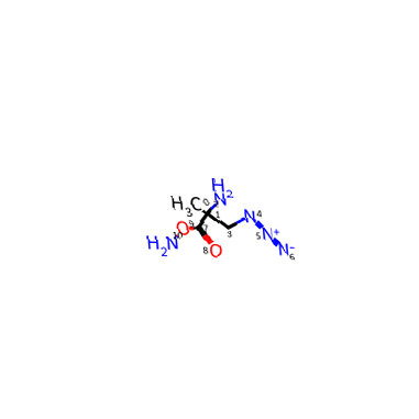 CC(N)(CN=[N+]=[N-])C(=O)ON